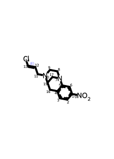 O=[N+]([O-])c1ccc2c(c1)N1CCN(C/C=C/Cl)C(C2)C1